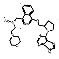 CC(=O)N(CCN1CCOCC1)Cc1ccc(OCC2CCCN2c2ncnc3[nH]cnc23)c2ccccc12